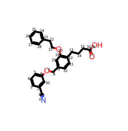 N#Cc1cccc(OCc2ccc(CCCC(=O)O)c(OCCc3ccccc3)c2)c1